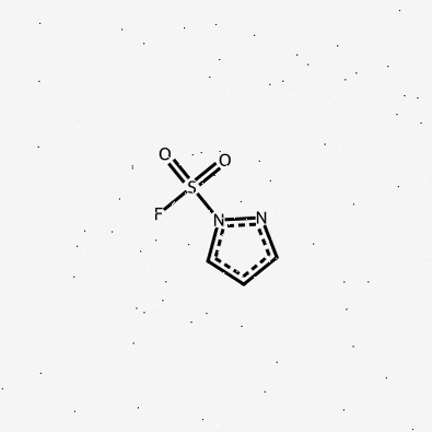 O=S(=O)(F)n1cccn1